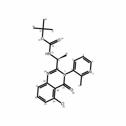 Cc1ncccc1-n1c([C@H](C)NC(=O)OC(C)(C)C)nc2cccc(Cl)c2c1=O